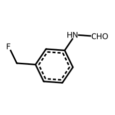 O=CNc1cccc(CF)c1